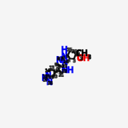 C[C@]1(O)CC[C@@H](Nc2ncc3c(-c4ccn5ncnc5c4)c[nH]c3n2)CC1